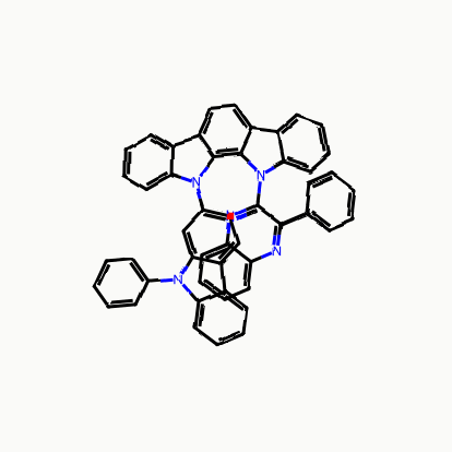 c1ccc(-c2nc3ccccc3nc2-n2c3ccccc3c3ccc4c5ccccc5n(-c5ccc6c7ccccc7n(-c7ccccc7)c6c5)c4c32)cc1